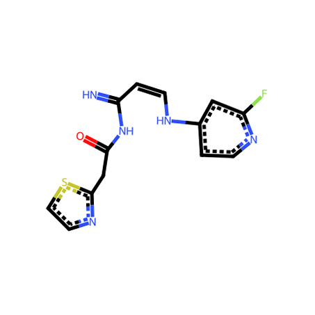 N=C(/C=C\Nc1ccnc(F)c1)NC(=O)Cc1nccs1